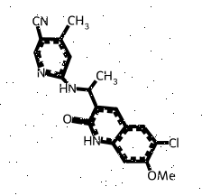 COc1cc2[nH]c(=O)c(C(C)Nc3cc(C)c(C#N)cn3)cc2cc1Cl